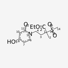 CCOC(=O)C(C)(CCn1ccc(O)cc1=O)S(C)(=O)=O